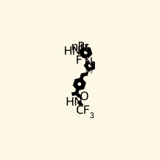 CCCNc1nccc(N2CC[C@@H](CCc3ccc(C(C)C(=O)NCC(F)(F)F)cc3)C2)c1F